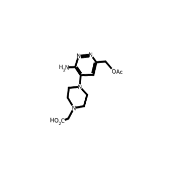 CC(=O)OCc1cc(N2CCN(CC(=O)O)CC2)c(N)nn1